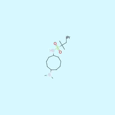 CB(C)C1CCCCC(BS(=O)(=O)C(C)(C)CC(C)C)CCC1